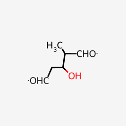 CC([C]=O)C(O)C[C]=O